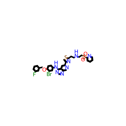 O=S(=O)(CCNCCc1nc(-c2cc3c(Nc4ccc(OCc5cccc(F)c5)c(Br)c4)ncnc3cn2)cs1)c1ccccn1